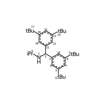 CC(C)NC(c1cc(C(C)(C)C)cc(C(C)(C)C)c1)c1cc(C(C)(C)C)cc(C(C)(C)C)c1